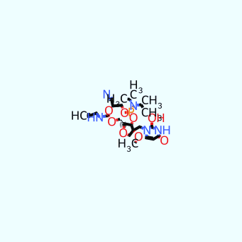 C#CCNC(=O)OC[C@H]1OCC(CN2C=CC(=O)NC2O)(OC)C1OP(OCCC#N)N(C(C)C)C(C)C